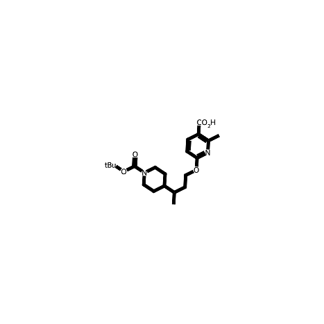 Cc1nc(OCCC(C)C2CCN(C(=O)OC(C)(C)C)CC2)ccc1C(=O)O